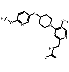 COc1ccc(OC2CCN(c3nc(CNC(=O)O)ncc3C)CC2)cn1